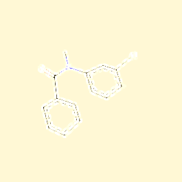 CN(C(=O)c1ccccc1)c1cc[c]c(Cl)c1